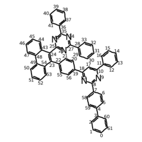 c1ccc(-c2ccc(-c3nc(-c4ccccc4)cc(-c4ccc(-c5c(-c6nc(-c7ccccc7)nc(-c7ccccc7)n6)c6ccccc6c6ccccc56)cc4)n3)cc2)cc1